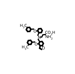 Cc1cccc(COc2ccccc2CN(CC[C@H](N)C(=O)O)Cc2ccc3occc3c2OCc2cccc(C)c2)c1